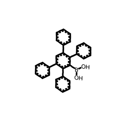 OB(O)c1c(-c2ccccc2)c(-c2ccccc2)cc(-c2ccccc2)c1-c1ccccc1